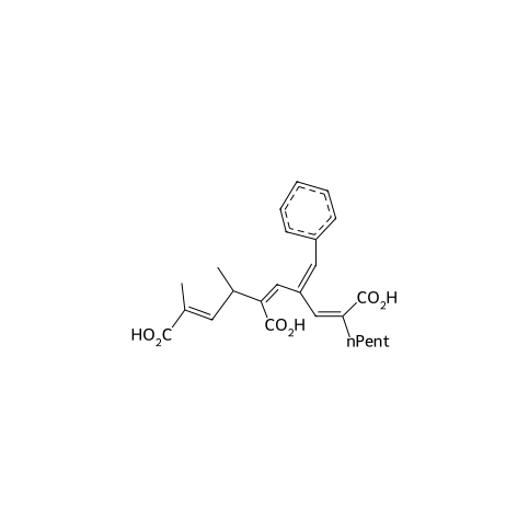 CCCCCC(=CC(=Cc1ccccc1)C=C(C(=O)O)C(C)C=C(C)C(=O)O)C(=O)O